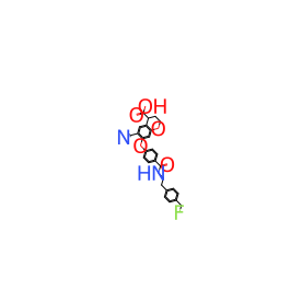 N#Cc1cc2c(cc1Oc1ccc(C(=O)NCCc3ccc(CF)cc3)cc1)OCCC2C(=O)O